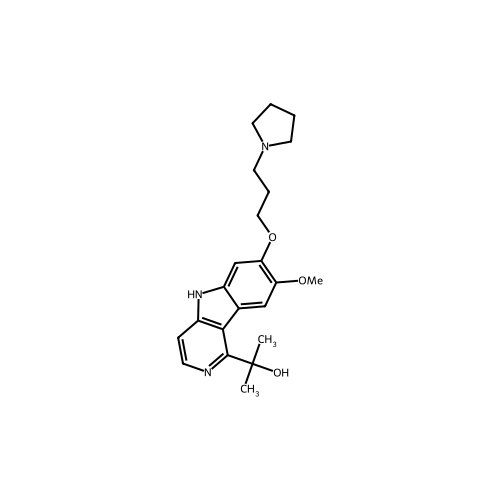 COc1cc2c(cc1OCCCN1CCCC1)[nH]c1ccnc(C(C)(C)O)c12